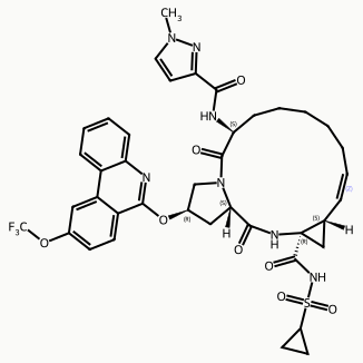 Cn1ccc(C(=O)N[C@H]2CCCCC/C=C\[C@@H]3C[C@@]3(C(=O)NS(=O)(=O)C3CC3)NC(=O)[C@@H]3C[C@@H](Oc4nc5ccccc5c5cc(OC(F)(F)F)ccc45)CN3C2=O)n1